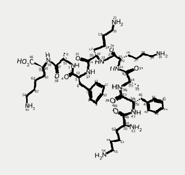 C[C@H](NC(=O)[C@H](Cc1ccccc1)NC(=O)[C@H](CCCCN)NC(=O)[C@H](CCCCN)NC(=O)[C@H](C)NC(=O)[C@H](Cc1ccccc1)NC(=O)[C@@H](N)CCCCN)C(=O)N[C@@H](CCCCN)C(=O)O